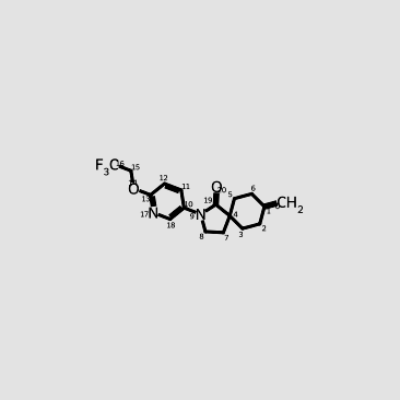 C=C1CCC2(CC1)CCN(c1ccc(OCC(F)(F)F)nc1)C2=O